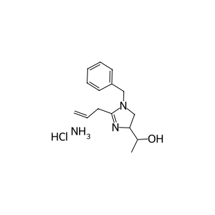 C=CCC1=NC(C(C)O)CN1Cc1ccccc1.Cl.N